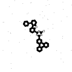 Clc1nc(-c2ccc3c4ccccc4c4ccccc4c3c2)nc(-c2cccc3c2oc2cccc(-c4ccccc4)c23)n1